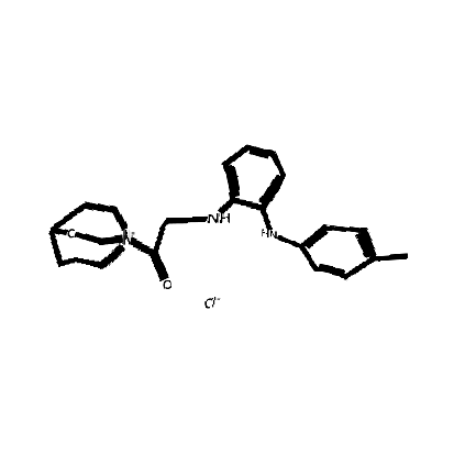 Cc1ccc(Nc2ccccc2NCC(=O)[N+]23CCC(CC2)CC3)cc1.[Cl-]